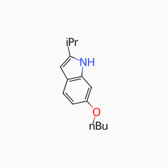 CCCCOc1ccc2cc(C(C)C)[nH]c2c1